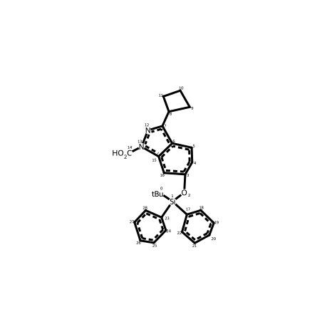 CC(C)(C)[Si](Oc1ccc2c(C3CCC3)nn(C(=O)O)c2c1)(c1ccccc1)c1ccccc1